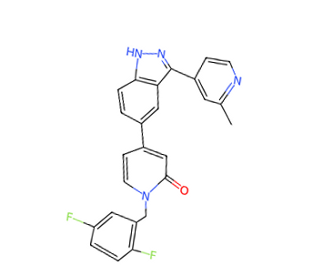 Cc1cc(-c2n[nH]c3ccc(-c4ccn(Cc5cc(F)ccc5F)c(=O)c4)cc23)ccn1